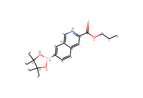 CCCOC(=O)c1cc2ccc(B3OC(C)(C)C(C)(C)O3)cc2cn1